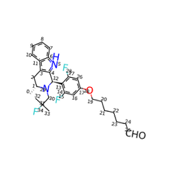 C[C@@H]1Cc2c([nH]c3ccccc23)[C@@H](c2c(F)cc(OCCCCCCC=O)cc2F)N1CC(C)(C)F